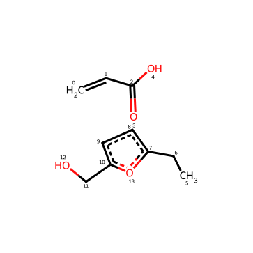 C=CC(=O)O.CCc1ccc(CO)o1